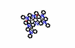 c1ccc(N2c3ccccc3B3c4cc5c(cc4N(c4ccccc4)c4cccc2c43)C2C3B4c6ccccc6N(c6ccccc6)c6cccc(c64)N(c4ccccc4)C3CC3c4c(ccc6c4B4c7ccccc7N(c7ccccc7)c7cccc(c74)N6c4ccccc4)N5C32)cc1